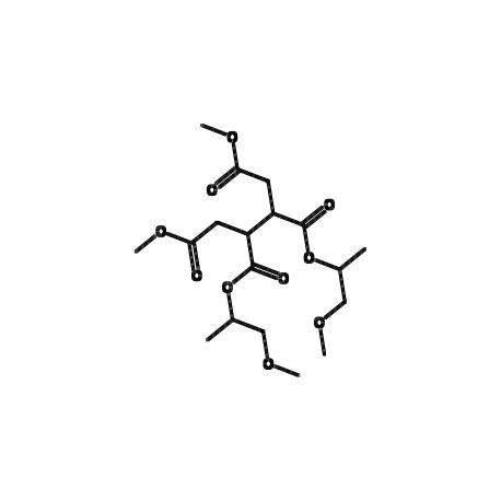 COCC(C)OC(=O)C(CC(=O)OC)C(CC(=O)OC)C(=O)OC(C)COC